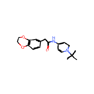 CC(C)(C)N1C=CC(NC(=O)Cc2ccc3c(c2)OCCO3)=CC1